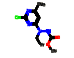 COc1cc(N(CC(C)C)NC(=O)OC(C)(C)C)nc(Cl)n1